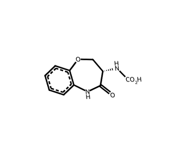 O=C(O)N[C@H]1COc2ccccc2NC1=O